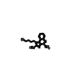 CCCCc1nc2c(N)nc3ccccc3c2n1CCCCCl